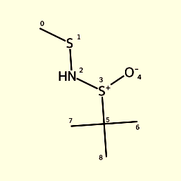 CSN[S+]([O-])C(C)(C)C